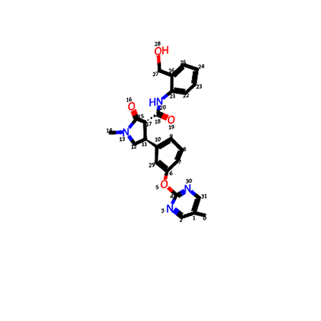 Cc1cnc(Oc2cccc([C@H]3CN(C)C(=O)[C@@H]3C(=O)Nc3ccccc3CO)c2)nc1